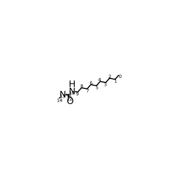 CCCCCCCCCCNC(=O)[N]C